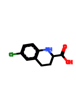 O=C(O)C1CCc2cc(Cl)ccc2N1